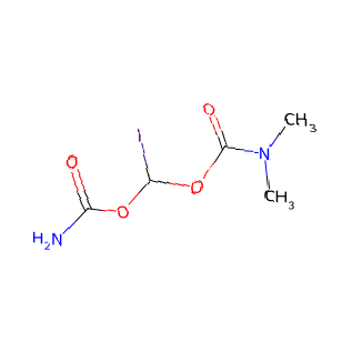 CN(C)C(=O)OC(I)OC(N)=O